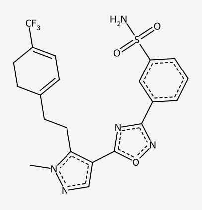 Cn1ncc(-c2nc(-c3cccc(S(N)(=O)=O)c3)no2)c1CCC1=CC=C(C(F)(F)F)CC1